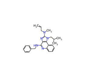 C=CCN(C)c1nc2c(NCc3ccccc3)nc3ccccc3c2n1CC(C)C